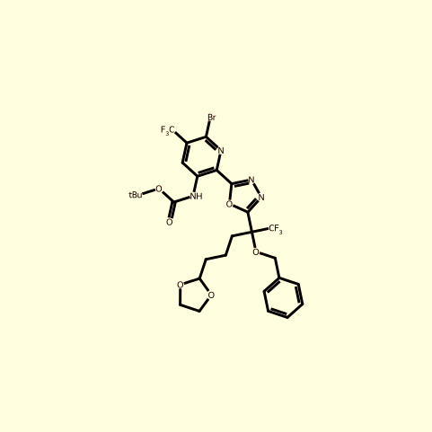 CC(C)(C)OC(=O)Nc1cc(C(F)(F)F)c(Br)nc1-c1nnc(C(CCCC2OCCO2)(OCc2ccccc2)C(F)(F)F)o1